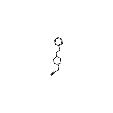 C#CCN1CCC(CCc2ccccc2)CC1